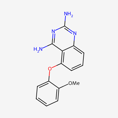 COc1ccccc1Oc1cccc2nc(N)nc(N)c12